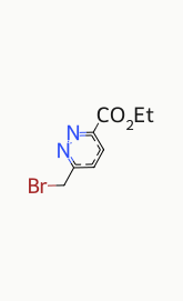 CCOC(=O)c1ccc(CBr)nn1